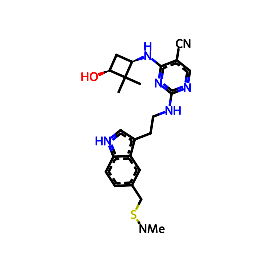 CNSCc1ccc2[nH]cc(CCNc3ncc(C#N)c(N[C@@H]4C[C@H](O)C4(C)C)n3)c2c1